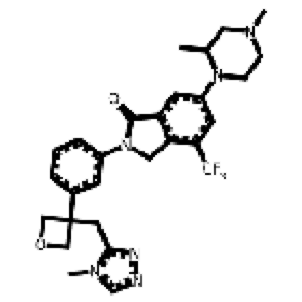 CC1CN(C)CCN1c1cc2c(c(C(F)(F)F)c1)CN(c1cccc(C3(Cc4nncn4C)COC3)c1)C2=O